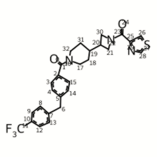 O=C(c1ccc(Cc2ccc(C(F)(F)F)cc2)cc1)N1CCC(C2CN(C(=O)c3cscn3)C2)CC1